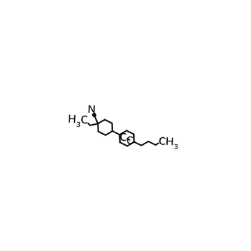 CCCCC12CCC(C3CCC(C#N)(CC)CC3)(CC1)CC2